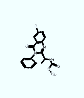 CC(NC(=O)OC(C)(C)C)c1nc2ccc(F)cc2c(=O)n1-c1ccccc1